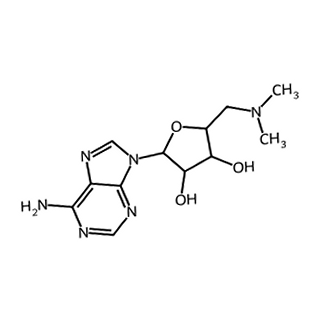 CN(C)CC1OC(n2cnc3c(N)ncnc32)C(O)C1O